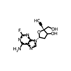 C#C[C@]1(CO)O[C@@H](n2cnc3c(N)nc(F)nc32)CC1O